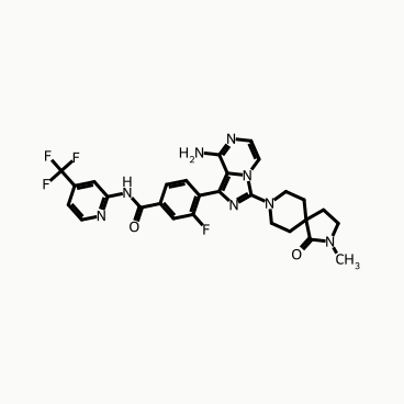 CN1CCC2(CCN(c3nc(-c4ccc(C(=O)Nc5cc(C(F)(F)F)ccn5)cc4F)c4c(N)nccn34)CC2)C1=O